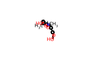 C[C@@H](c1ccc(-c2ccc(OCCO)cc2)cc1)N1CCC(CC(C)(C)O)(c2ccccc2)OC1=O